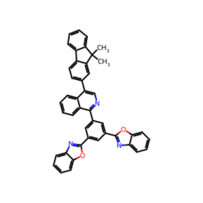 CC1(C)c2ccccc2-c2ccc(-c3cnc(-c4cc(-c5nc6ccccc6o5)cc(-c5nc6ccccc6o5)c4)c4ccccc34)cc21